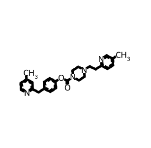 Cc1ccc(CCN2CCN(C(=O)Oc3ccc(Cc4cc(C)ccn4)cc3)CC2)nc1